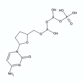 Nc1ccn(C2CCC(COP(O)OP(O)OP(=O)(O)O)O2)c(=O)n1